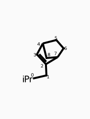 CC(C)CC1=CC2CCC1C2